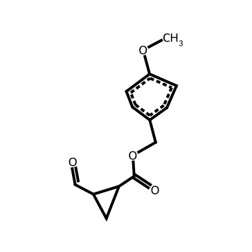 COc1ccc(COC(=O)C2CC2C=O)cc1